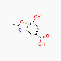 Cc1nc2cc(C(=O)O)cc(O)c2o1